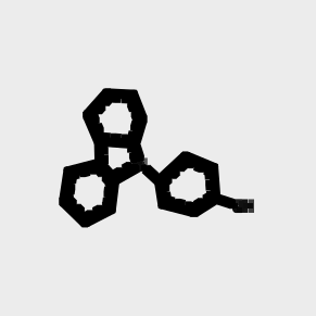 Oc1ccc(-n2c3ccccc3c3ccccc32)cc1